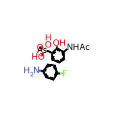 CC(=O)Nc1cccc([As](=O)(O)O)c1O.Nc1ccc(F)cc1